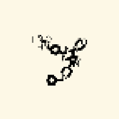 CNC(=O)Nc1ccc(-c2nc(N3CCOCC3)c3onc(C4CCN(Cc5ccccc5)CC4)c3n2)cc1